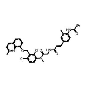 Cc1ccc2cccc(OCc3c(Cl)ccc(N(C)C(=O)CNC(=O)C=Cc4ccc(NC(=O)C(C)C)c(C)c4)c3Cl)c2n1